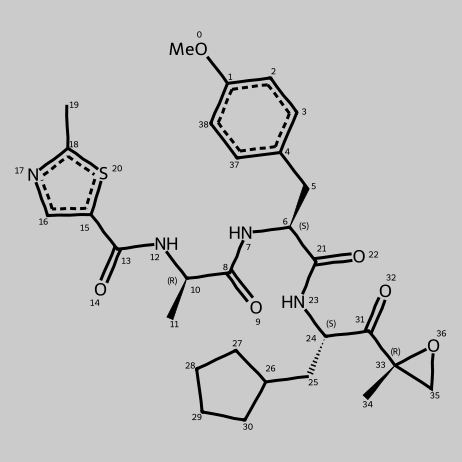 COc1ccc(C[C@H](NC(=O)[C@@H](C)NC(=O)c2cnc(C)s2)C(=O)N[C@@H](CC2CCCC2)C(=O)[C@@]2(C)CO2)cc1